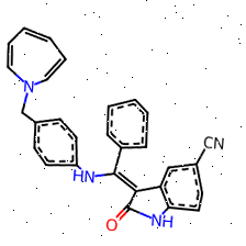 N#Cc1ccc2c(c1)/C(=C(/Nc1ccc(CN3C=CC=CC=C3)cc1)c1ccccc1)C(=O)N2